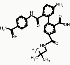 CC(C)(C)CNC(=O)c1ccc(-c2cc(N)ccc2C(=O)Nc2ccc(C(=N)N)cc2)c(C(=O)O)c1